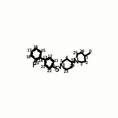 CC1CCN(C2CCN(Sc3ccc(-c4ccccc4F)cc3)CC2)CC1